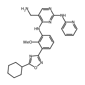 COc1c(Nc2nc(Nc3ccccn3)ncc2CN)cccc1-c1noc(C2CCCCC2)n1